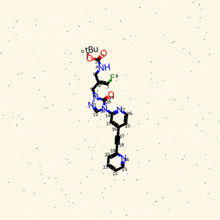 CC(C)(C)OC(=O)NCC(=CF)Cn1ncn(-c2cc(C#Cc3ccccn3)ccn2)c1=O